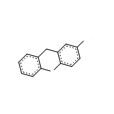 O=C(O)c1ccc2c(c1)Cc1ccccc1S2